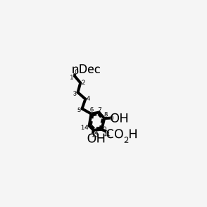 CCCCCCCCCCCCCCCc1cc(O)c(C(=O)O)c(O)c1